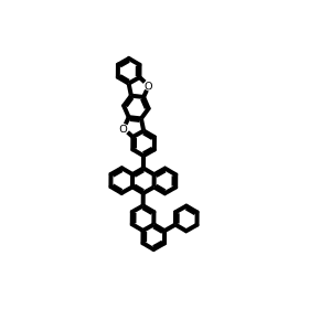 C1=CCCC(c2cccc3ccc(-c4c5ccccc5c(-c5ccc6c(c5)oc5cc7c(cc56)oc5ccccc57)c5ccccc45)cc23)=C1